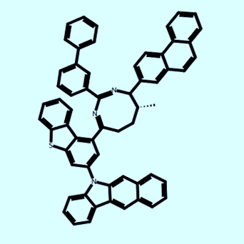 C[C@@H]1CC/C(c2cc(-n3c4ccccc4c4cc5ccccc5cc43)cc3sc4ccccc4c23)=N\C(c2cccc(-c3ccccc3)c2)=N/C1c1ccc2c(ccc3ccccc32)c1